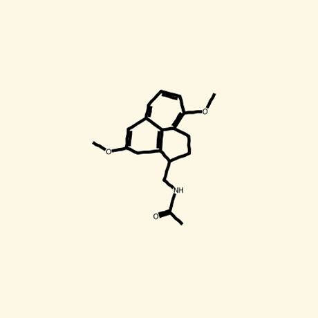 COC1=CC2=CC=CC(OC)=C3CCC(CNC(C)=O)C(=C23)C1